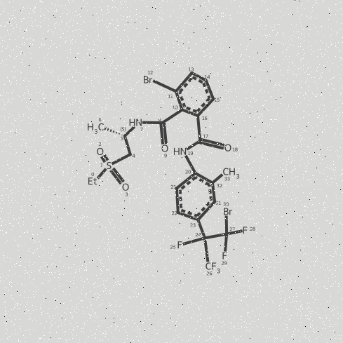 CCS(=O)(=O)C[C@H](C)NC(=O)c1c(Br)cccc1C(=O)Nc1ccc(C(F)(C(F)(F)F)C(F)(F)Br)cc1C